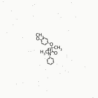 CCC(C)(Oc1ccc(OC)cc1)C(=O)Nc1ccccc1